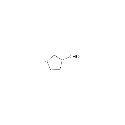 O=CC1C[CH]CC1